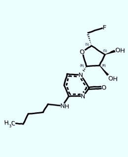 CCCCCNc1ccn([C@@H]2O[C@H](CF)[C@@H](O)[C@H]2O)c(=O)n1